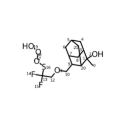 CC1(O)C2CC3CC(C2)C(COCC(F)(F)SOOO)C1C3